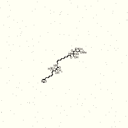 COC(C)CN(C)C(=O)C(O)(CO)NC(=O)/C=C/C=C/C=C/C=C\CNC(=O)C(C)(C)C(O)\C(C)=C/C=C\C=C\Cc1cnco1